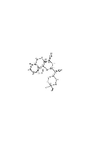 O=C(C1CCC(F)(F)CC1)N1CC(=O)N2CCc3ccccc3[C@@H]2C1